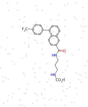 O=C(O)NCCCNC(=O)c1ccc2c(-c3ccc(C(F)(F)F)cc3)cccc2c1